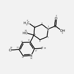 CC1CN(C(=O)O)CCC1(O)c1cc(Cl)cnc1F